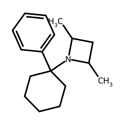 CC1CC(C)N1C1(c2ccccc2)CCCCC1